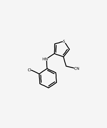 N#CCc1cscc1Nc1ccccc1Cl